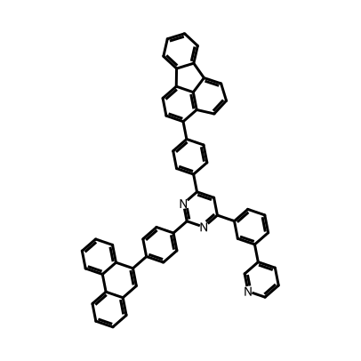 c1cncc(-c2cccc(-c3cc(-c4ccc(-c5ccc6c7c(cccc57)-c5ccccc5-6)cc4)nc(-c4ccc(-c5cc6ccccc6c6ccccc56)cc4)n3)c2)c1